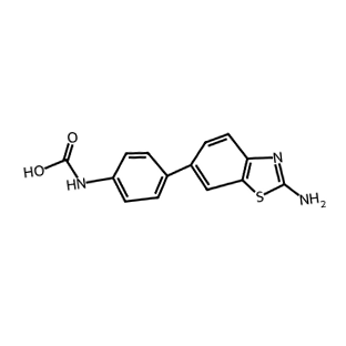 Nc1nc2ccc(-c3ccc(NC(=O)O)cc3)cc2s1